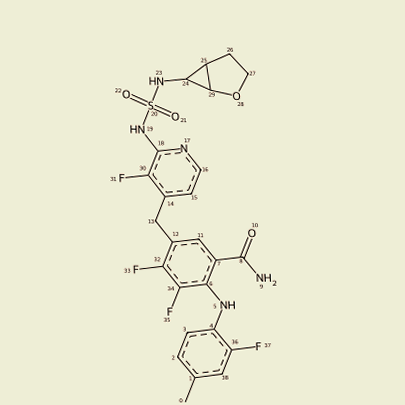 Cc1ccc(Nc2c(C(N)=O)cc(Cc3ccnc(NS(=O)(=O)NC4C5CCOC54)c3F)c(F)c2F)c(F)c1